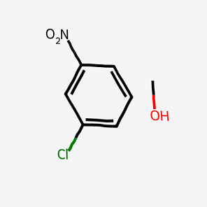 CO.O=[N+]([O-])c1cccc(Cl)c1